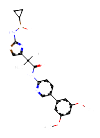 COc1cc(OC)cc(-c2ccc(NC(=O)C(C)(C)c3csc(N[S+]([O-])C4CC4)n3)nc2)c1